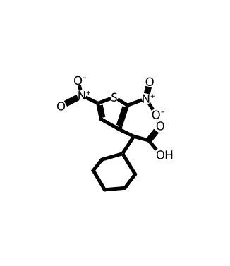 O=C(O)C(c1cc([N+](=O)[O-])sc1[N+](=O)[O-])C1CCCCC1